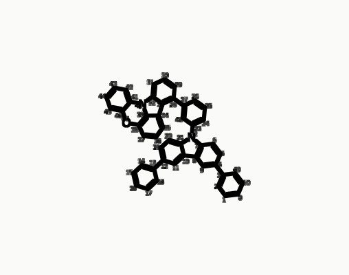 c1ccc(-c2ccc3c(c2)c2cc(-c4ccccc4)ccc2n3-c2cccc(-c3cccc4c3c3cccc5c3n4-c3ccccc3O5)c2)cc1